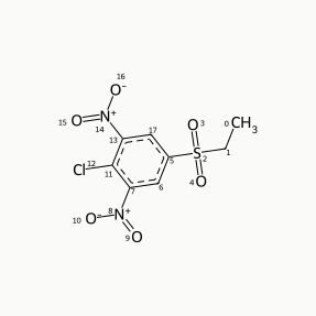 CCS(=O)(=O)c1cc([N+](=O)[O-])c(Cl)c([N+](=O)[O-])c1